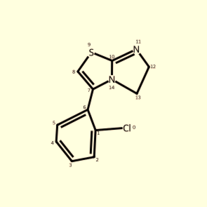 Clc1ccccc1C1=CSC2=NCCN12